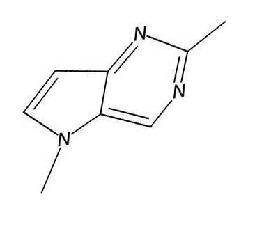 Cc1ncc2c(ccn2C)n1